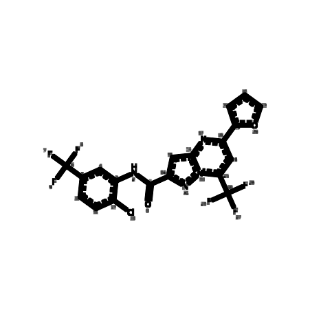 O=C(Nc1cc(C(F)(F)F)ccc1Cl)c1cc2nc(-c3ccco3)cc(C(F)(F)F)n2n1